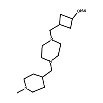 COC1CC(CN2CCN(CC3CCN(C)CC3)CC2)C1